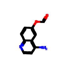 Nc1ccnc2ccc(OC=O)cc12